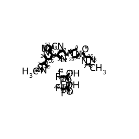 Cc1cnc(C(=O)N2CCN(c3ccc(-c4cc(-c5cnn(C)c5)cn5ncc(C#N)c45)cn3)CC2)cn1.O=C(O)C(F)(F)F.O=C(O)C(F)(F)F